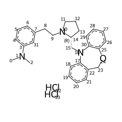 CN(C)c1cccc(CCN2CCC[C@@H]2CN2c3ccccc3COc3ccccc32)c1.Cl.Cl